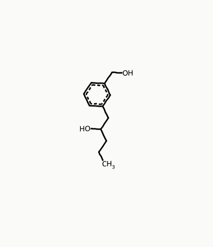 CCCC(O)Cc1cccc(CO)c1